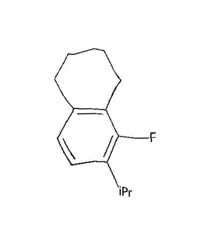 CC(C)c1ccc2c(c1F)CCCC2